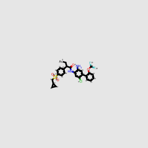 CC(=O)CC(C(=O)Nc1cc(Cl)c(-c2ccccc2OC(F)F)cc1N)c1ccc(S(=O)(=O)CC2CC2)cc1